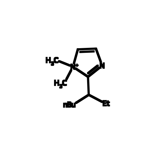 CCCCC(CC)C1=NC=C[N+]1(C)C